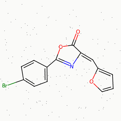 O=C1OC(c2ccc(Br)cc2)=NC1=Cc1ccco1